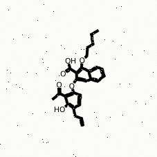 C=CCc1ccc(Oc2cc3ccccc3c(OCCCCC)c2C(=O)O)c(C(C)=O)c1O